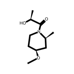 CO[C@H]1CCN(C(=O)[C@H](C)O)[C@@H](C)C1